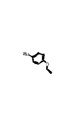 C=COc1ccc(C(C)CC)cc1